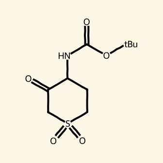 CC(C)(C)OC(=O)NC1CCS(=O)(=O)CC1=O